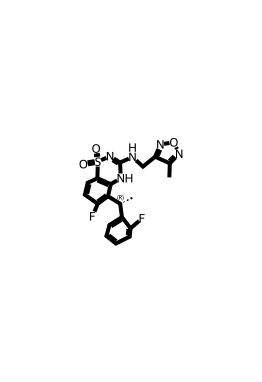 Cc1nonc1CNC1=NS(=O)(=O)c2ccc(F)c([C@H](C)c3ccccc3F)c2N1